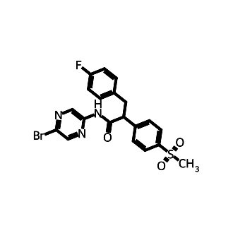 CS(=O)(=O)c1ccc(C(Cc2ccc(F)cc2)C(=O)Nc2cnc(Br)cn2)cc1